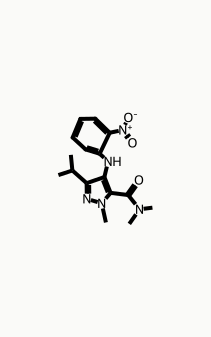 CC(C)c1nn(C)c(C(=O)N(C)C)c1Nc1ccccc1[N+](=O)[O-]